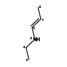 CC=CNCC